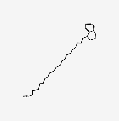 CCCCCCCCCCCCCCCCCCCCCCCCCCCCCCC1CCCc2ccccc21